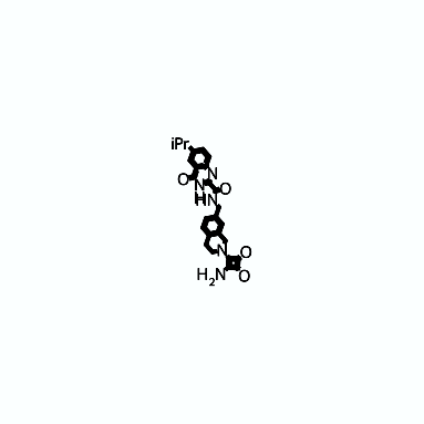 CC(C)c1ccc2nc(C(=O)NCc3ccc4c(c3)CN(c3c(N)c(=O)c3=O)CC4)[nH]c(=O)c2c1